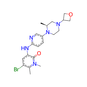 Cc1c(Br)cc(Nc2ccc(N3CCN(C4COC4)C[C@@H]3C)cn2)c(=O)n1C